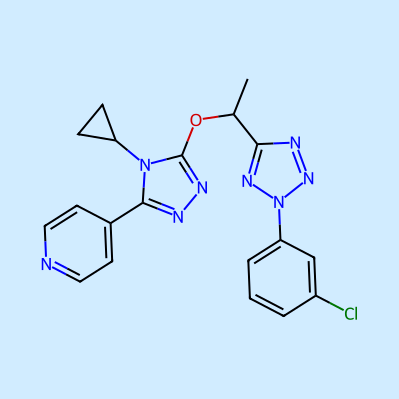 CC(Oc1nnc(-c2ccncc2)n1C1CC1)c1nnn(-c2cccc(Cl)c2)n1